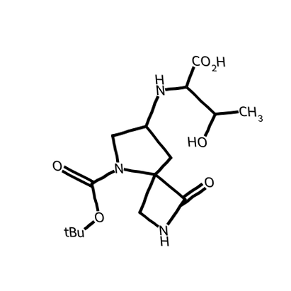 CC(O)C(NC1CN(C(=O)OC(C)(C)C)C2(CNC2=O)C1)C(=O)O